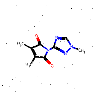 CC1=C(C)C(=O)N(c2ncn(C)n2)C1=O